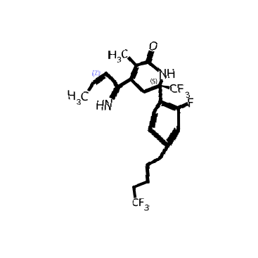 C/C=C\C(=N)C1=C(C)C(=O)N[C@@](c2ccc(CCCCC(F)(F)F)cc2F)(C(F)(F)F)C1